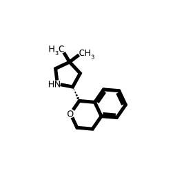 CC1(C)CN[C@@H](C2OCCc3ccccc32)C1